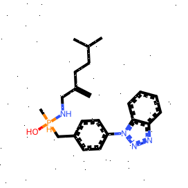 C=C(CCC(C)C)CN[PH](C)(O)Cc1ccc(-n2nnc3ccccc32)cc1